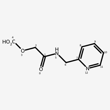 O=C(COC(=O)O)NCc1ccccn1